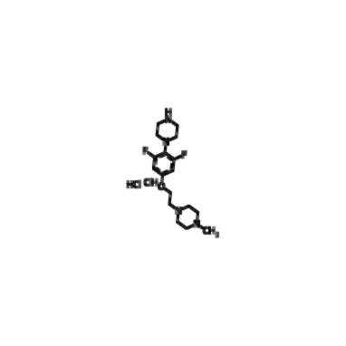 CN1CCN(CCOc2cc(F)c(N3CCNCC3)c(F)c2)CC1.Cl.Cl